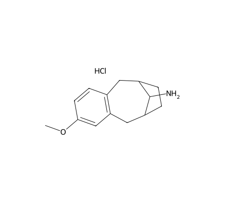 COc1ccc2c(c1)CC1CCC(C2)C1N.Cl